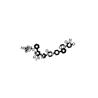 Nc1nnc(-c2ccccc2OCOP(=O)(O)O)cc1-n1cc(N2CCN(C3CCC(c4cccc5c4OCCN5[C@H]4CCC(=O)NC4=O)CC3)CC2=O)cn1